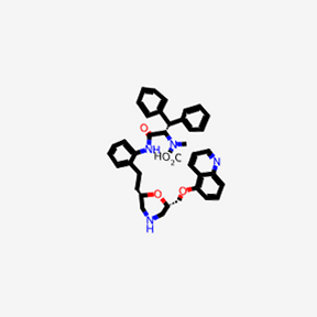 CN(C(=O)O)[C@H](C(=O)Nc1ccccc1CC[C@@H]1CNC[C@@H](COc2cccc3ncccc23)O1)C(c1ccccc1)c1ccccc1